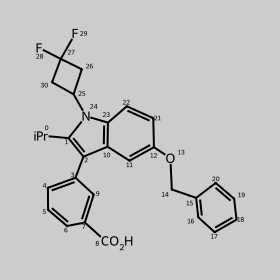 CC(C)c1c(-c2cccc(C(=O)O)c2)c2cc(OCc3ccccc3)ccc2n1C1CC(F)(F)C1